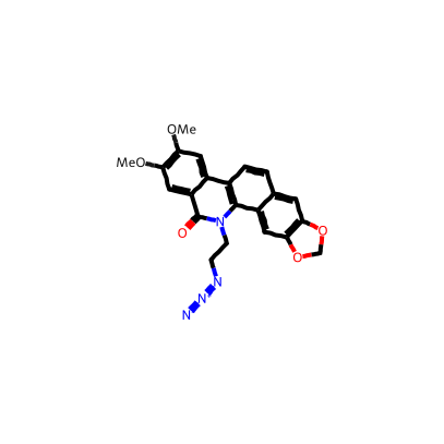 COc1cc2c(=O)n(CCN=[N+]=[N-])c3c4cc5c(cc4ccc3c2cc1OC)OCO5